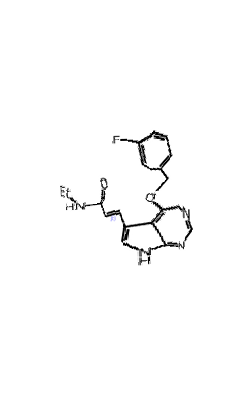 CCNC(=O)/C=C/c1c[nH]c2ncnc(OCc3cccc(F)c3)c12